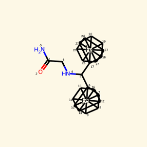 NC(=O)CNC([C]12[CH]3[CH]4[CH]5[CH]1[Fe]45321678[CH]2[CH]1[CH]6[CH]7[CH]28)[C]12[CH]3[CH]4[CH]5[CH]1[Fe]45321678[CH]2[CH]1[CH]6[CH]7[CH]28